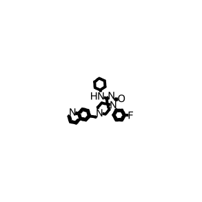 O=C1N=C(NC2CCCCC2)C2(CCN(Cc3ccc4ncccc4c3)CC2)N1c1cccc(F)c1